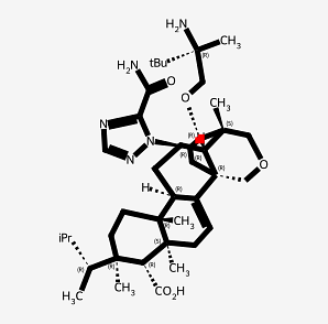 CC(C)[C@@H](C)[C@@]1(C)CC[C@]2(C)[C@H]3CC[C@@H]4[C@@]5(COC[C@@]4(C)[C@@H](OC[C@](C)(N)C(C)(C)C)[C@H](n4ncnc4C(N)=O)C5)C3=CC[C@@]2(C)[C@@H]1C(=O)O